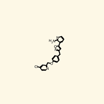 Nc1ncccc1-c1cc(Cc2ccc(OCc3cc(Cl)ccn3)cc2)no1